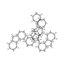 c1ccc(-c2nc(-c3ccc4oc5ccccc5c4c3)nc(-c3cccc4oc5cccc(-c6nc(-c7ccccc7)nc7c6sc6ccccc67)c5c34)n2)cc1